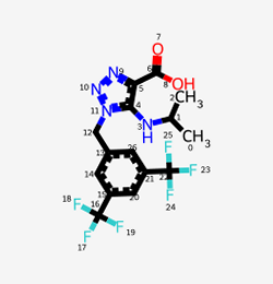 CC(C)Nc1c(C(=O)O)nnn1Cc1cc(C(F)(F)F)cc(C(F)(F)F)c1